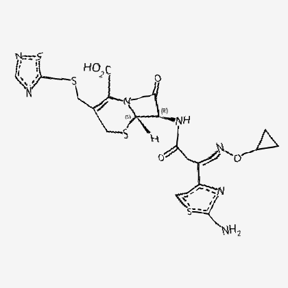 Nc1nc(C(=NOC2CC2)C(=O)N[C@@H]2C(=O)N3C(C(=O)O)=C(CSc4ncns4)CS[C@@H]23)cs1